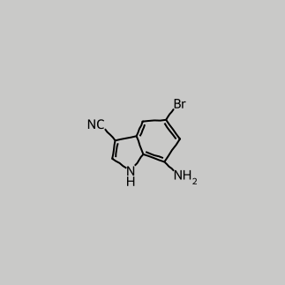 N#Cc1c[nH]c2c(N)cc(Br)cc12